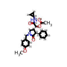 COc1ccc(CN2C[C@H](C(OC(C)=O)C(=O)NC3CC3)[C@@H](c3ccccc3)C2=O)cc1